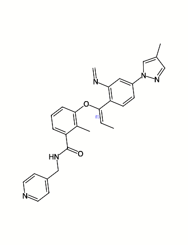 C=Nc1cc(-n2cc(C)cn2)ccc1/C(=C\C)Oc1cccc(C(=O)NCc2ccncc2)c1C